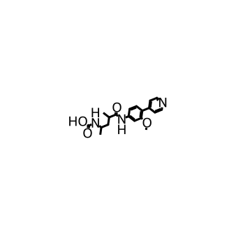 COc1cc(NC(=O)C(C)CC(C)NC(=O)O)ccc1-c1ccncc1